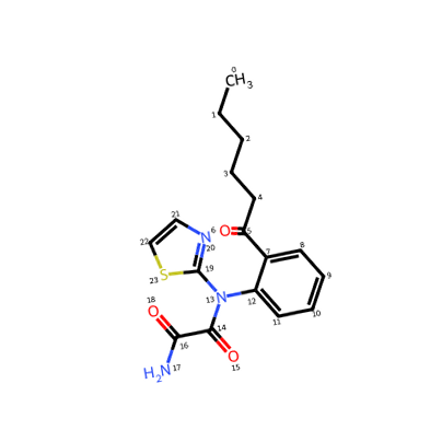 CCCCCC(=O)c1ccccc1N(C(=O)C(N)=O)c1nccs1